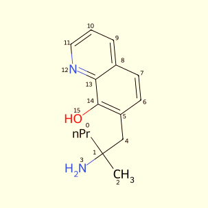 CCCC(C)(N)Cc1ccc2cccnc2c1O